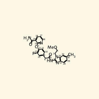 COCCn1c(NC(=O)Cc2ccc(Oc3ncccc3C(N)=O)c(F)c2)nc2ccc(C)cc21